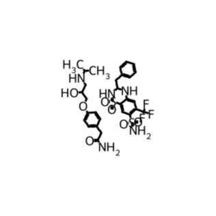 CC(C)NCC(O)COc1ccc(CC(N)=O)cc1.NS(=O)(=O)c1cc2c(cc1C(F)(F)F)NC(Cc1ccccc1)NS2(=O)=O